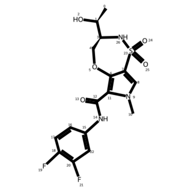 C[C@H](O)[C@@H]1COc2c(cn(C)c2C(=O)Nc2ccc(F)c(F)c2)S(=O)(=O)N1